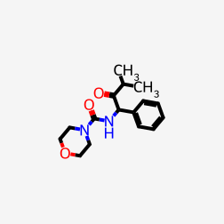 CC(C)C(=O)C(NC(=O)N1CCOCC1)c1ccccc1